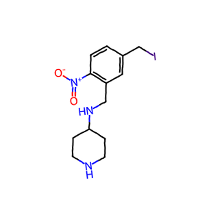 O=[N+]([O-])c1ccc(CI)cc1CNC1CCNCC1